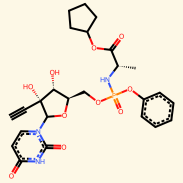 C#C[C@]1(O)C(n2ccc(=O)[nH]c2=O)O[C@H](COP(=O)(N[C@@H](C)C(=O)OC2CCCC2)Oc2ccccc2)[C@H]1O